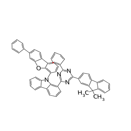 CC1(C)c2ccccc2-c2ccc(-c3nc(-c4ccccc4)nc(-c4cccc5c6ccccc6n(-c6cccc7c6oc6cc(-c8ccccc8)ccc67)c45)n3)cc21